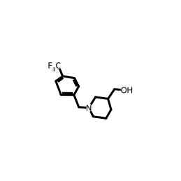 OCC1CCCN(Cc2ccc(C(F)(F)F)cc2)C1